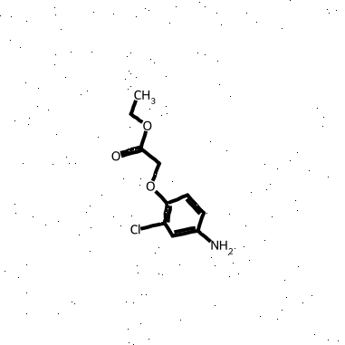 CCOC(=O)COc1ccc(N)cc1Cl